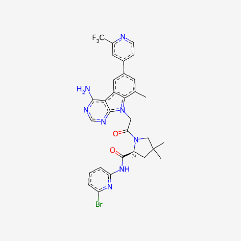 Cc1cc(-c2ccnc(C(F)(F)F)c2)cc2c3c(N)ncnc3n(CC(=O)N3CC(C)(C)C[C@H]3C(=O)Nc3cccc(Br)n3)c12